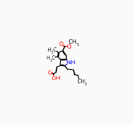 CCCCCc1[nH]c2cc(C(=O)OC)c(C)c(C)c2c1CCC(=O)O